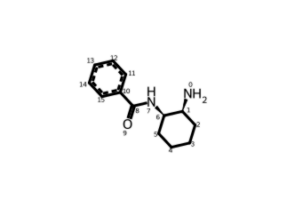 N[C@H]1CCCC[C@H]1NC(=O)c1ccccc1